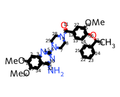 COc1cc2nc(N3CCN(C(=O)c4ccc(OC(C)c5ccccc5)c(OC)c4)CC3)nc(N)c2cc1OC